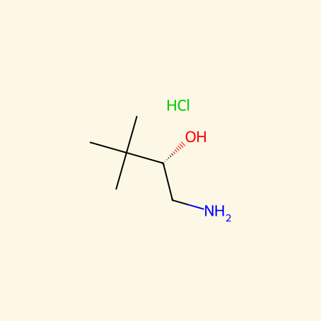 CC(C)(C)[C@H](O)CN.Cl